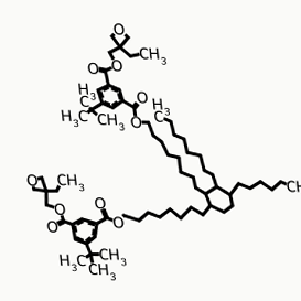 CCCCCCCCC1C(CCCCCC)CCC(CCCCCCCCOC(=O)c2cc(C(=O)OCC3(CC)COC3)cc(C(C)(C)C)c2)C1CCCCCCCCOC(=O)c1cc(C(=O)OCC2(CC)COC2)cc(C(C)(C)C)c1